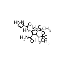 CC1(C)CC2C(C(N)=O)=C(NC(=O)c3cc[nH]n3)SC2C(C)(C)O1